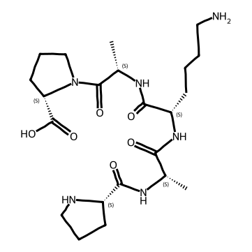 C[C@H](NC(=O)[C@@H]1CCCN1)C(=O)N[C@@H](CCCCN)C(=O)N[C@@H](C)C(=O)N1CCC[C@H]1C(=O)O